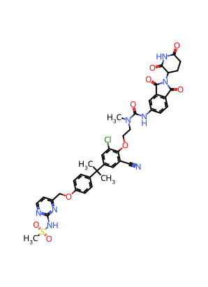 CN(CCOc1c(Cl)cc(C(C)(C)c2ccc(OCc3ccnc(NS(C)(=O)=O)n3)cc2)cc1C#N)C(=O)Nc1ccc2c(c1)C(=O)N(C1CCC(=O)NC1=O)C2=O